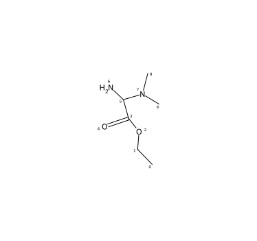 CCOC(=O)C(N)N(C)C